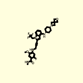 CNC(=O)c1cc(OC)c(NCC#Cc2cc3c(N[C@H]4CC[C@@H](N5CC6(COC6)C5)CC4)cccc3n2CC(F)(F)F)cc1F